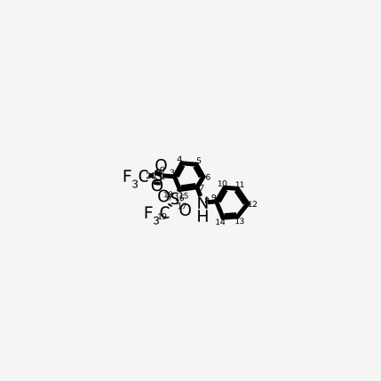 O=S(=O)(c1cccc(Nc2ccccc2)c1S(=O)(=O)C(F)(F)F)C(F)(F)F